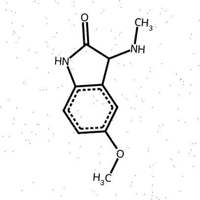 CNC1C(=O)Nc2ccc(OC)cc21